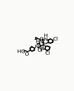 O=C(CO)c1ccc(N2C[C@H]3[C@@H](C2=O)[C@H](c2cccc(Cl)c2F)[C@@]2(Cc4ccc(Cl)cc4NC2=O)N3CC2CC2)cc1